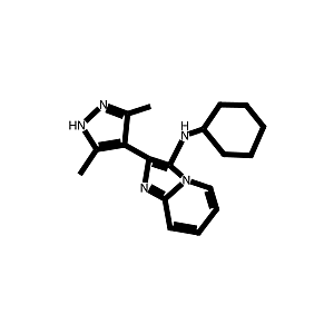 Cc1n[nH]c(C)c1-c1nc2ccccn2c1NC1CCCCC1